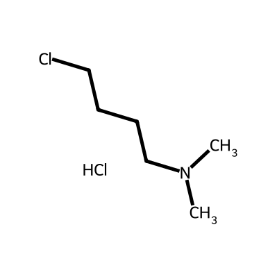 CN(C)CCCCCl.Cl